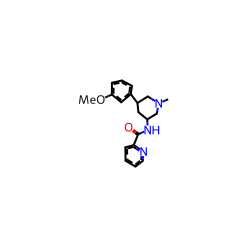 COc1cccc(C2CC(NC(=O)c3ccccn3)CN(C)C2)c1